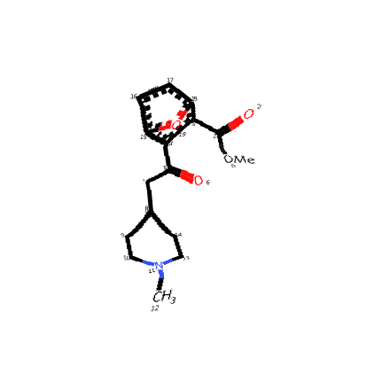 COC(=O)c1c(C(=O)CC2CCN(C)CC2)c2ccc1o2